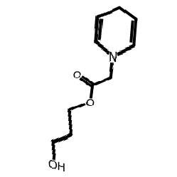 O=C(CN1C=CCC=C1)OCCCO